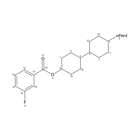 CCCCCC1CCC(C2CCC(OC(=O)c3cccc(F)c3)CC2)CC1